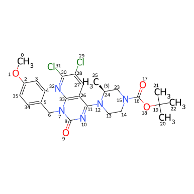 COc1ccc(Cn2c(=O)nc(N3CCN(C(=O)OC(C)(C)C)C[C@@H]3C)c3cc(Cl)c(Cl)nc32)cc1